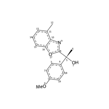 COc1ccc([C@@](C)(O)c2nc3c(C)cccc3o2)cc1